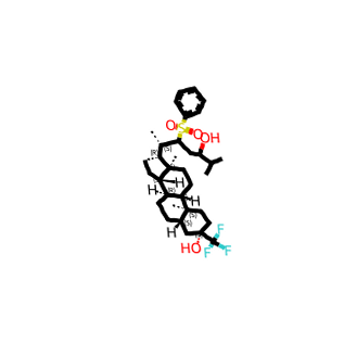 CC(C)C(O)CC([C@@H](C)[C@H]1CC[C@H]2[C@@H]3CC[C@H]4C[C@](O)(C(F)(F)F)CC[C@]4(C)[C@H]3CC[C@]12C)S(=O)(=O)c1ccccc1